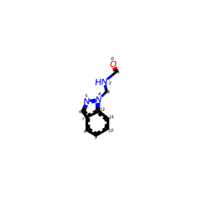 O=CNCn1ncc2ccccc21